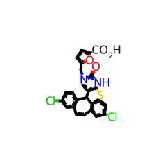 O=C(O)c1ccc(Cn2cc(C3c4ccc(Cl)cc4C=Cc4cc(Cl)ccc43)c(=S)[nH]c2=O)o1